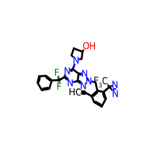 C#Cc1cccc(C2(C(F)(F)F)N=N2)c1Cn1nc2nc(C(F)(F)c3ccccc3)nc(N3CCC(O)C3)c2n1